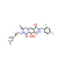 C/C=C1\Cn2cc(C(=O)NCc3ccc(F)cc3F)c(=O)c(O)c2C(=O)N1CC[C@@H](C)CNCC(C)C